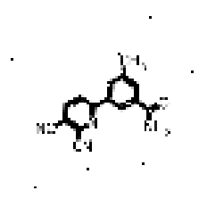 Cc1cc(C(N)=O)cc(-c2ccc(C#N)c(C#N)n2)c1